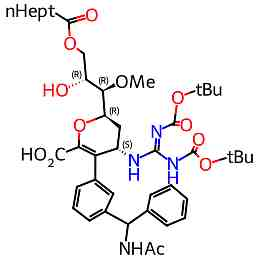 CCCCCCCC(=O)OC[C@@H](O)[C@@H](OC)[C@H]1C[C@H](NC(=NC(=O)OC(C)(C)C)NC(=O)OC(C)(C)C)C(c2cccc(C(NC(C)=O)c3ccccc3)c2)=C(C(=O)O)O1